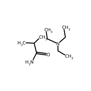 CC(C)C(N)=O.CCN(CC)CC